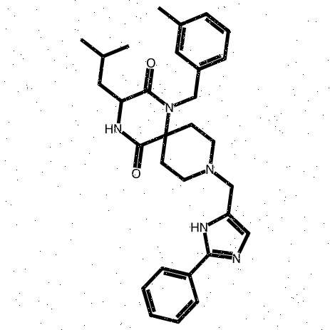 Cc1cccc(CN2C(=O)C(CC(C)C)NC(=O)C23CCN(Cc2cnc(-c4ccccc4)[nH]2)CC3)c1